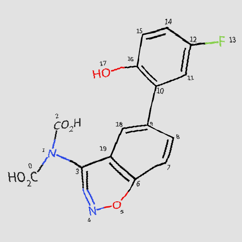 O=C(O)N(C(=O)O)c1noc2ccc(-c3cc(F)ccc3O)cc12